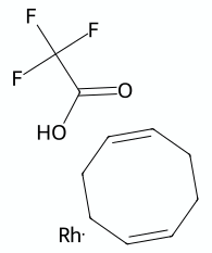 C1=CCCC=CCC1.O=C(O)C(F)(F)F.[Rh]